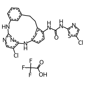 O=C(Nc1ncc(Cl)s1)Nc1ccc2cc1CCc1cccc(c1)Nc1ncc(Cl)c(n1)N2.O=C(O)C(F)(F)F